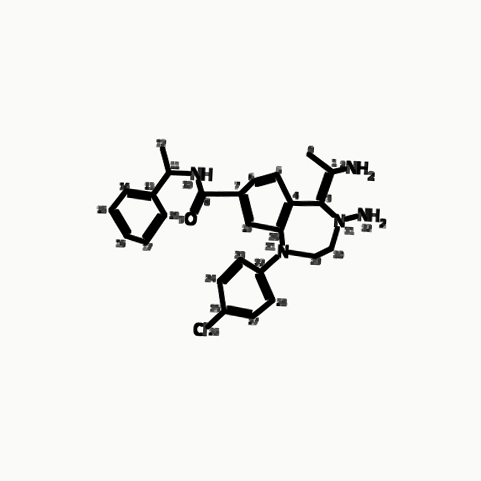 C/C(N)=C1\c2ccc(C(=O)NC(C)c3ccccc3)cc2N(c2ccc(Cl)cc2)CCN1N